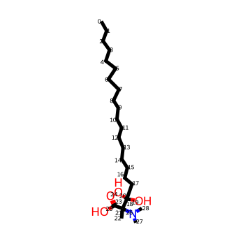 CCCCCCCCCCCCCCCCCCC(O)(O)C(C)(C(=O)O)N(C)C